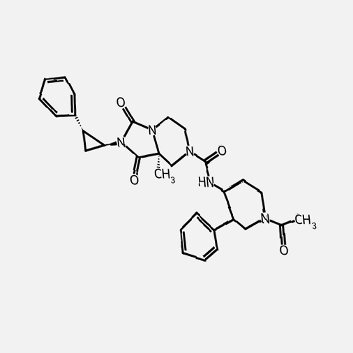 CC(=O)N1CCC(NC(=O)N2CCN3C(=O)N([C@H]4C[C@@H]4c4ccccc4)C(=O)[C@]3(C)C2)C(c2ccccc2)C1